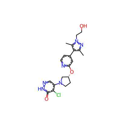 Cc1nn(CCO)c(C)c1-c1ccnc(O[C@@H]2CCN(c3cn[nH]c(=O)c3Cl)C2)c1